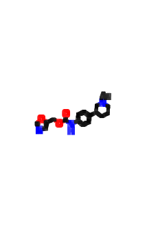 CC(=O)N1CCC[C@@H](c2ccc(NC(=O)OCc3cnco3)cc2)C1